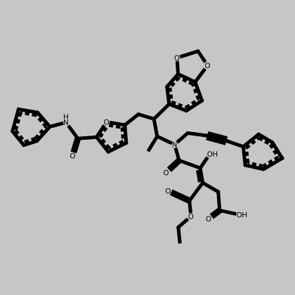 CCOC(=O)C(CC(=O)O)=C(O)C(=O)N(CC#Cc1ccccc1)C(C)C(Cc1ccc(C(=O)Nc2ccccc2)o1)c1ccc2c(c1)OCO2